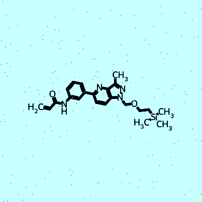 C=CC(=O)Nc1cccc(-c2ccc3c(n2)c(C)nn3COCC[Si](C)(C)C)c1